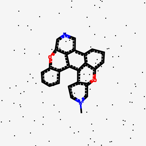 C[n+]1ccc2c(c1)oc1cccc3c4cncc5oc6ccccc6c(c54)c2c13